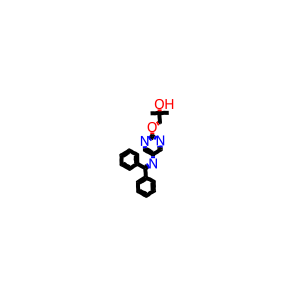 CC(C)(O)COc1ncc(N=C(c2ccccc2)c2ccccc2)cn1